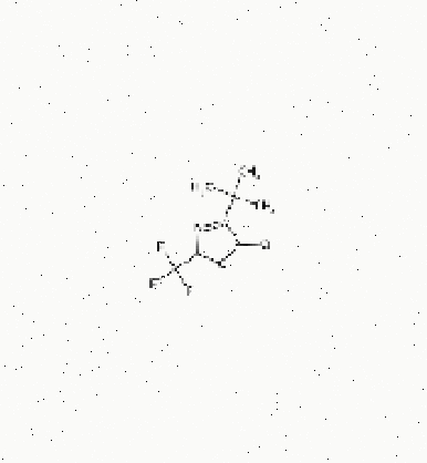 CC(C)(C)C1=NC(C(F)(F)F)OC1=O